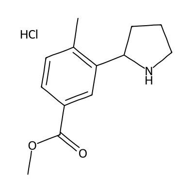 COC(=O)c1ccc(C)c(C2CCCN2)c1.Cl